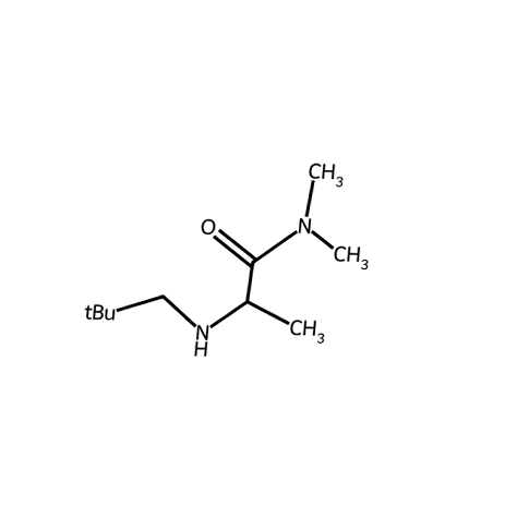 CC(NCC(C)(C)C)C(=O)N(C)C